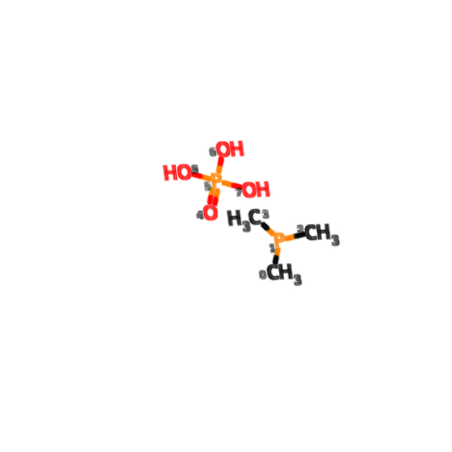 CP(C)C.O=P(O)(O)O